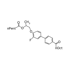 CCCCCCCCC(=O)c1ccc(-c2ccc(OCC(C)OC(=O)CCCCC)c(F)c2)cc1